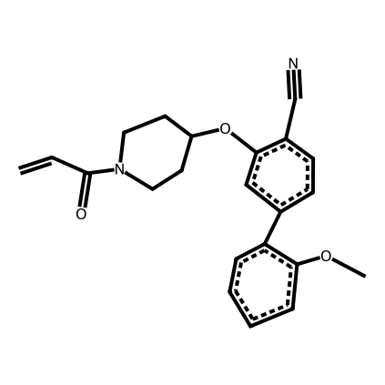 C=CC(=O)N1CCC(Oc2cc(-c3ccccc3OC)ccc2C#N)CC1